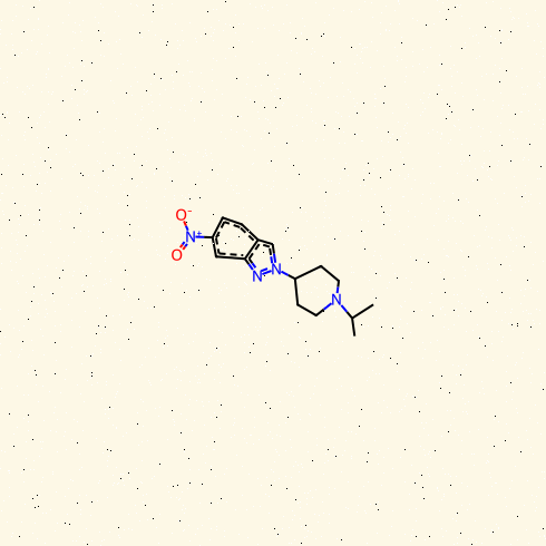 CC(C)N1CCC(n2cc3ccc([N+](=O)[O-])cc3n2)CC1